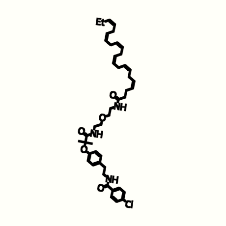 CC/C=C\C/C=C\C/C=C\C/C=C\C/C=C\C/C=C\CCC(=O)NCCOCCNC(=O)C(C)(C)Oc1ccc(CCNC(=O)c2ccc(Cl)cc2)cc1